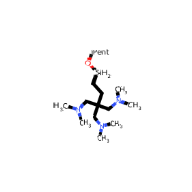 CCCC(C)O[SiH2]CCC(CN(C)C)(CN(C)C)CN(C)C